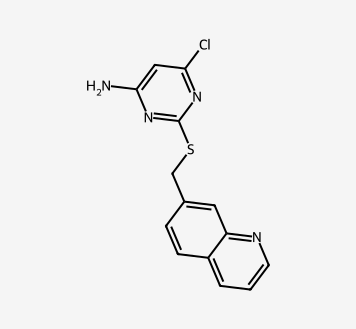 Nc1cc(Cl)nc(SCc2ccc3cccnc3c2)n1